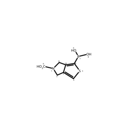 O=C(O)N1Cc2csc(B(O)O)c2C1